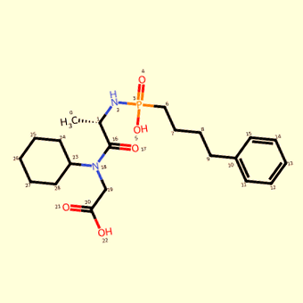 C[C@H](NP(=O)(O)CCCCc1ccccc1)C(=O)N(CC(=O)O)C1CCCCC1